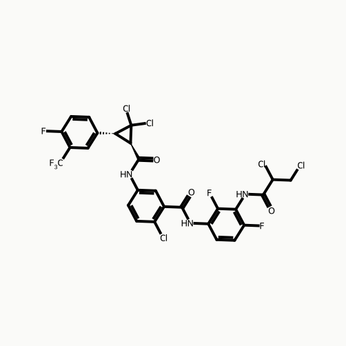 O=C(Nc1ccc(F)c(NC(=O)C(Cl)CCl)c1F)c1cc(NC(=O)[C@H]2[C@H](c3ccc(F)c(C(F)(F)F)c3)C2(Cl)Cl)ccc1Cl